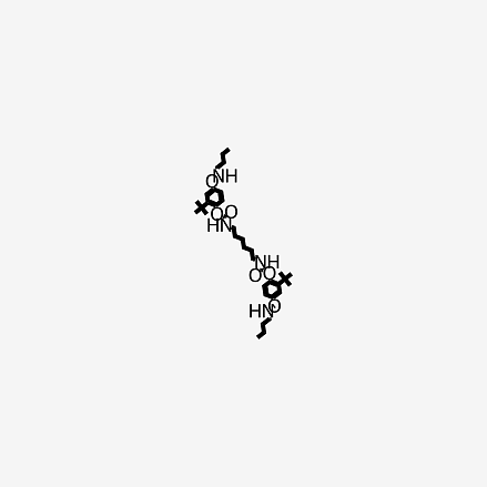 CCCCNOc1ccc(OC(=O)NCCCCCCNC(=O)Oc2ccc(ONCCCC)cc2C(C)(C)C)c(C(C)(C)C)c1